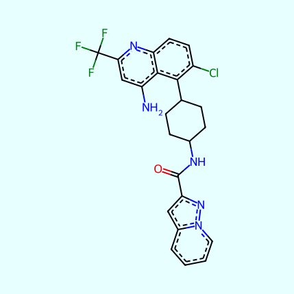 Nc1cc(C(F)(F)F)nc2ccc(Cl)c(C3CCC(NC(=O)c4cc5ccccn5n4)CC3)c12